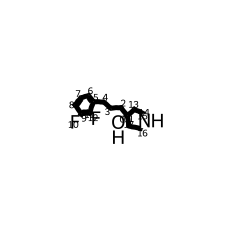 OC1(CCCc2cccc(F)c2F)CCNCC1